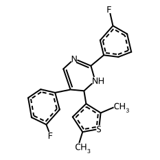 Cc1cc(C2NC(c3cccc(F)c3)=NC=C2c2cccc(F)c2)c(C)s1